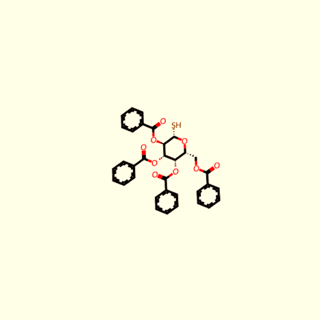 O=C(OC[C@H]1O[C@@H](S)[C@H](OC(=O)c2ccccc2)[C@@H](OC(=O)c2ccccc2)[C@H]1OC(=O)c1ccccc1)c1ccccc1